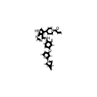 C=CC(=O)N1CCC(c2c[nH]c3ncnc(Nc4ccc(Oc5ccnc(N6CC7CC7C6)c5)cc4F)c23)CC1